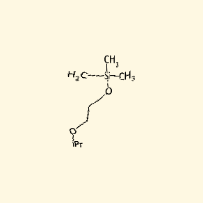 CC(C)OCCO[Si](C)(C)C